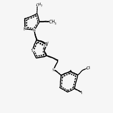 Cc1cnn(-c2nc(CSc3ccc(I)c(Cl)c3)cs2)c1C